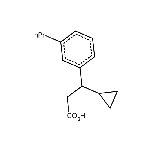 CCCc1cccc(C(CC(=O)O)C2CC2)c1